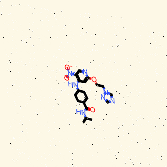 CC(C)NC(=O)C1CCC(Nc2cc(OCCn3cncn3)ncc2[N+](=O)[O-])CC1